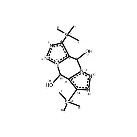 C[Si](C)(C)c1nnn2c1C(O)n1nnc([Si](C)(C)C)c1C2O